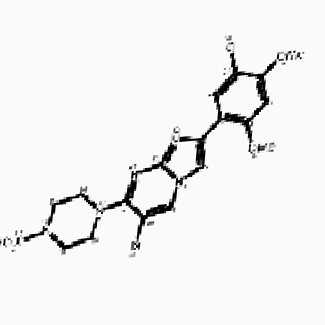 COc1cc(OC)c(-c2cn3cc(Br)c(N4CCN(C(=O)O)CC4)nc3n2)cc1Cl